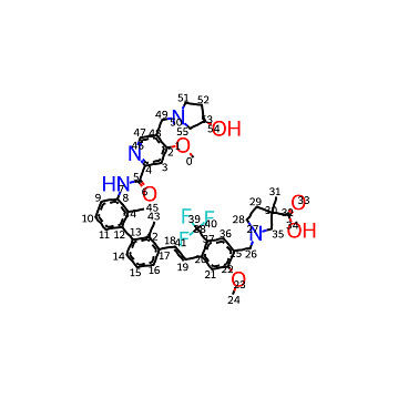 COc1cc(C(=O)Nc2cccc(-c3cccc(/C=C/c4cc(OC)c(CN5CCC(C)(C(=O)O)C5)cc4C(F)(F)F)c3C)c2C)ncc1CN1CC[C@@H](O)C1